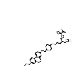 C=C(C)C(=O)OCC(CO)CCCCC1CCC(CCc2ccc3c(c2)CCc2cc(CCC)ccc2-3)CC1